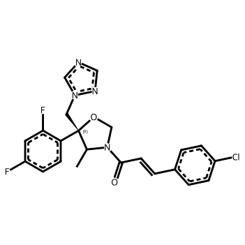 CC1N(C(=O)C=Cc2ccc(Cl)cc2)CO[C@@]1(Cn1cncn1)c1ccc(F)cc1F